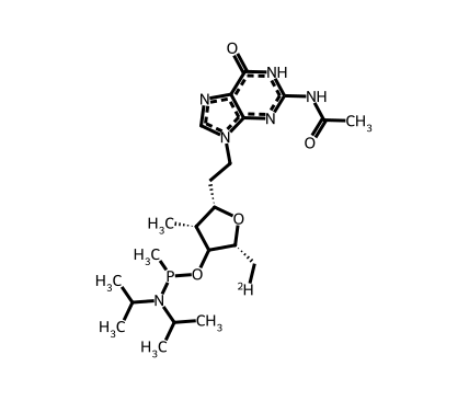 [2H]C[C@H]1O[C@@H](CCn2cnc3c(=O)[nH]c(NC(C)=O)nc32)[C@@H](C)C1OP(C)N(C(C)C)C(C)C